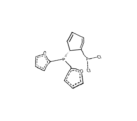 ClP(Cl)C1=CC=C[C@H]1P(c1ccco1)c1ccco1